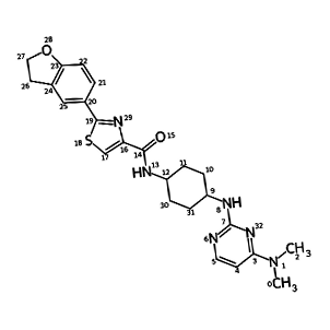 CN(C)c1ccnc(NC2CCC(NC(=O)c3csc(-c4ccc5c(c4)CCO5)n3)CC2)n1